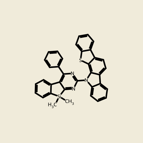 C[Si]1(C)c2ccccc2-c2c(-c3ccccc3)nc(-n3c4ccccc4c4ccc5c6ccccc6sc5c43)nc21